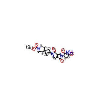 CC(C)(C)OC(=O)N1CCC2(CC1)CC(n1ccc3c(c1=O)CN(C1CCC(=O)NC1=O)C3=O)C2